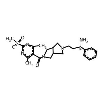 Cc1nc(S(C)(=O)=O)nc(C)c1C(=O)N1CC2CN(CC[C@H](N)c3ccccc3)CC2C1